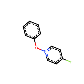 Fc1cc[n+](Oc2ccccc2)cc1